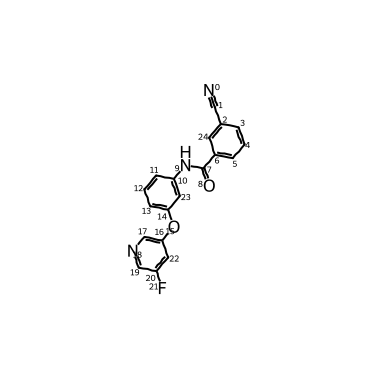 N#Cc1cccc(C(=O)Nc2cccc(Oc3cncc(F)c3)c2)c1